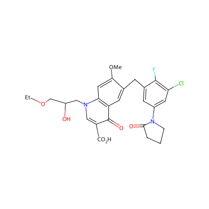 CCOCC(O)Cn1cc(C(=O)O)c(=O)c2cc(Cc3cc(N4CCCC4=O)cc(Cl)c3F)c(OC)cc21